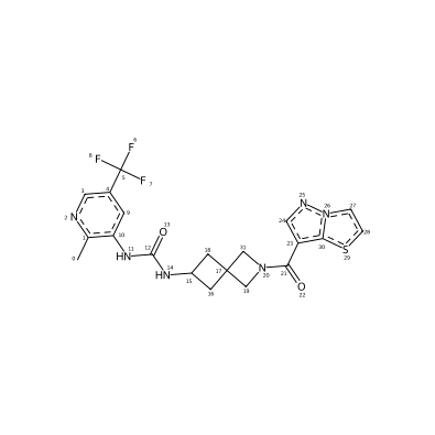 Cc1ncc(C(F)(F)F)cc1NC(=O)NC1CC2(C1)CN(C(=O)c1cnn3ccsc13)C2